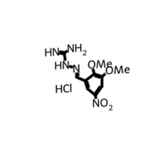 COc1cc([N+](=O)[O-])cc(C=NNC(=N)N)c1OC.Cl